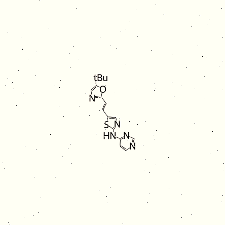 CC(C)(C)c1cnc(/C=C/c2cnc(Nc3ccncn3)s2)o1